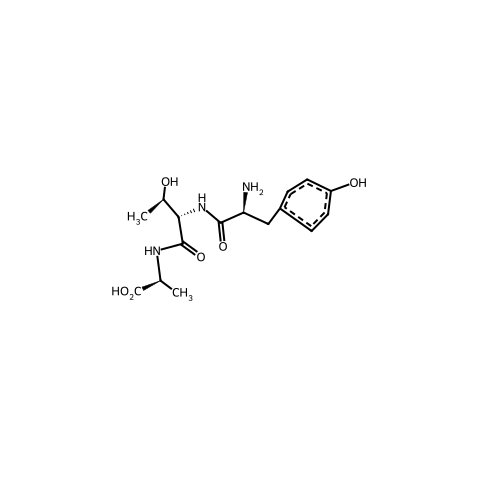 C[C@H](NC(=O)[C@@H](NC(=O)[C@@H](N)Cc1ccc(O)cc1)[C@@H](C)O)C(=O)O